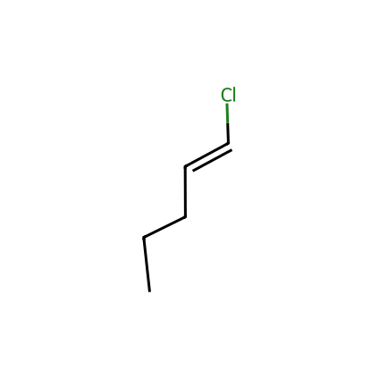 CCC/C=C/Cl